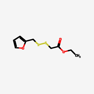 CCOC(=O)CSSCc1ccco1